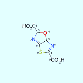 O=C(O)C1=NC2OC(C(=O)O)N=C2S1